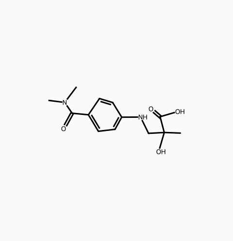 CN(C)C(=O)c1ccc(NCC(C)(O)C(=O)O)cc1